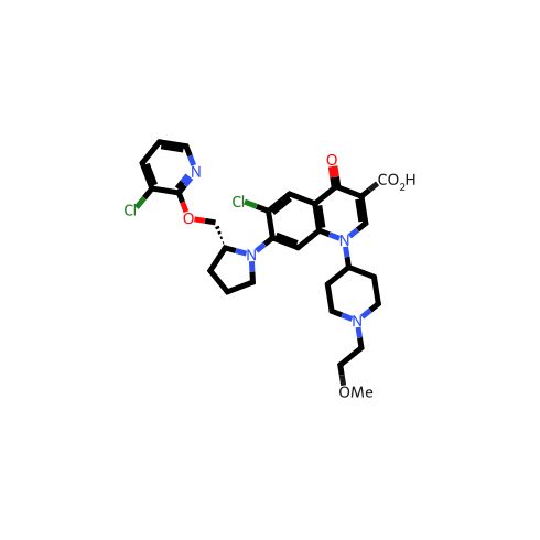 COCCN1CCC(n2cc(C(=O)O)c(=O)c3cc(Cl)c(N4CCC[C@@H]4COc4ncccc4Cl)cc32)CC1